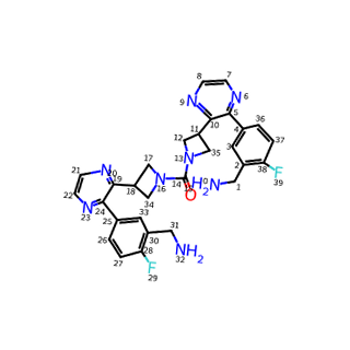 NCc1cc(-c2nccnc2C2CN(C(=O)N3CC(c4nccnc4-c4ccc(F)c(CN)c4)C3)C2)ccc1F